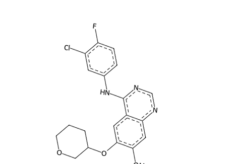 COc1cc2ncnc(Nc3ccc(F)c(Cl)c3)c2cc1OC1CCCOC1